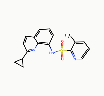 Cc1cccnc1S(=O)(=O)Nc1cccc2ccc(C3CC3)nc12